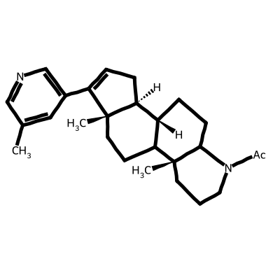 CC(=O)N1CCC[C@]2(C)C3CC[C@]4(C)C(c5cncc(C)c5)=CC[C@H]4[C@@H]3CCC12